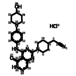 Cl.N#CCC1CCN(c2nc(Nc3ccc(N4CCC(O)CC4)cc3)c3c(=O)[nH]ncc3n2)CC1